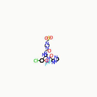 CS(=O)(=O)CCN1CCN(C(=O)Cn2cc(NC(=O)c3cnn4cccnc34)c(-c3cc(Cl)ccc3OC(F)F)n2)CC1